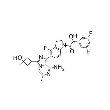 Cc1cn2c(C3CC(C)(O)C3)nc(-c3ccc4c(c3F)CCN4C(=O)C(O)c3cc(F)cc(F)c3)c2c(N)n1